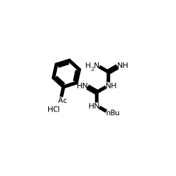 CC(=O)c1ccccc1.CCCCNC(=N)NC(=N)N.Cl